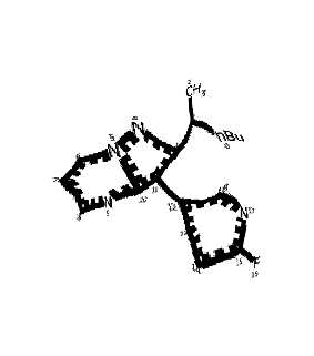 CCCCC(C)c1nn2cccnc2c1-c1ccc(F)nc1